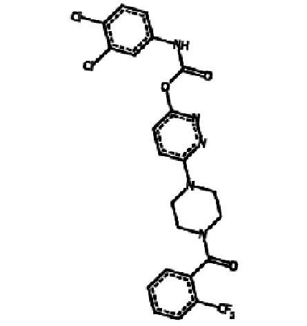 O=C(Nc1ccc(Cl)c(Cl)c1)Oc1ccc(N2CCN(C(=O)c3ccccc3C(F)(F)F)CC2)nn1